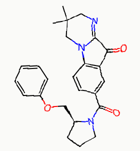 CC1(C)CN=C2C(=O)c3cc(C(=O)N4CCC[C@H]4COc4ccccc4)ccc3N2C1